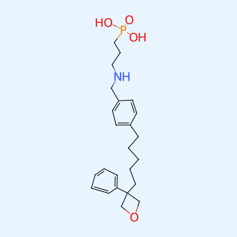 O=P(O)(O)CCCNCc1ccc(CCCCCC2(c3ccccc3)COC2)cc1